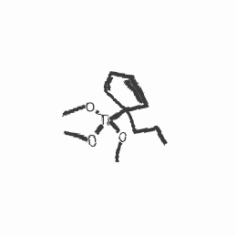 CCC[C]1([Ti]([O]C)([O]C)[O]C)C=CC=C1